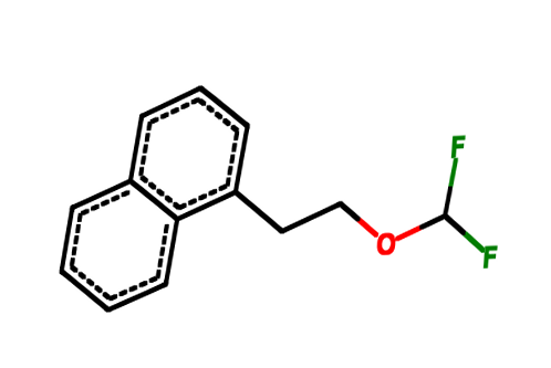 FC(F)OCCc1cccc2ccccc12